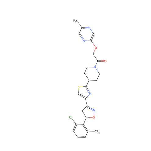 O=C(COc1cnc(C(F)(F)F)cn1)N1CCC(c2nc(C3=NOC(c4c(Cl)cccc4C(F)(F)F)C3)cs2)CC1